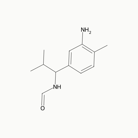 Cc1ccc(C(NC=O)C(C)C)cc1N